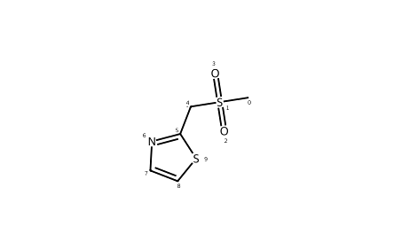 CS(=O)(=O)[CH]c1nccs1